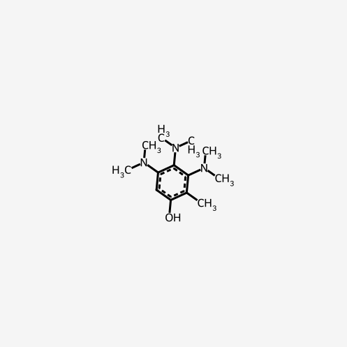 Cc1c(O)cc(N(C)C)c(N(C)C)c1N(C)C